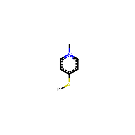 CC(C)Sc1cc[n+](C)cc1